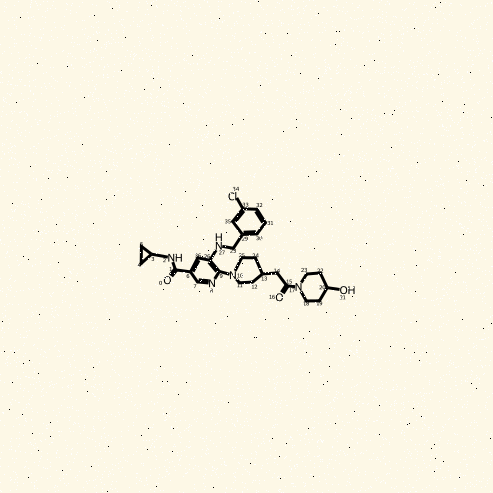 O=C(NC1CC1)c1cnc(N2CCC(CC(=O)N3CCC(O)CC3)CC2)c(NCc2cccc(Cl)c2)c1